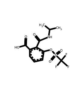 CC(C)NC(=O)c1c(OS(=O)(=O)C(F)(F)F)cccc1C(=O)O